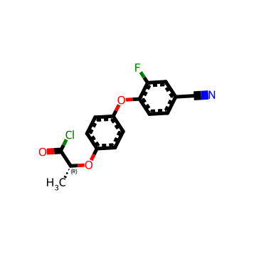 C[C@@H](Oc1ccc(Oc2ccc(C#N)cc2F)cc1)C(=O)Cl